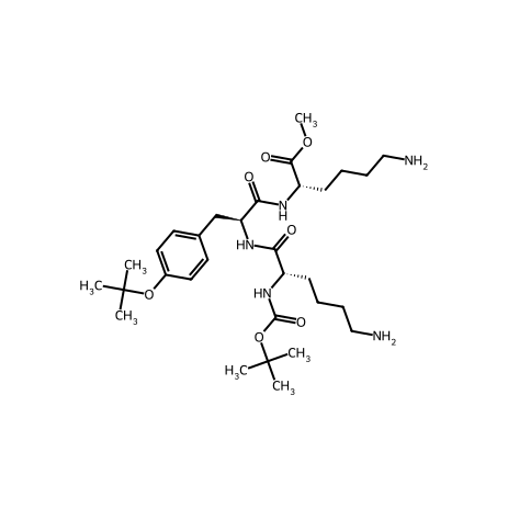 COC(=O)[C@H](CCCCN)NC(=O)[C@H](Cc1ccc(OC(C)(C)C)cc1)NC(=O)[C@H](CCCCN)NC(=O)OC(C)(C)C